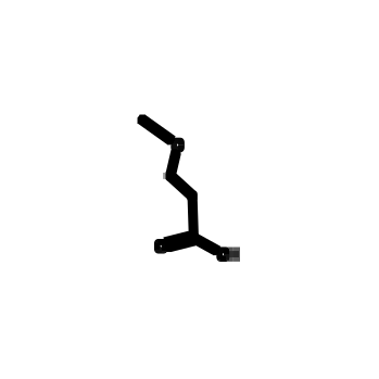 CO[CH]CC(=O)O